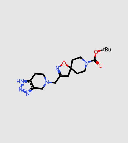 CC(C)(C)OC(=O)N1CCC2(CC1)CC(CN1CCc3[nH]nnc3C1)=NO2